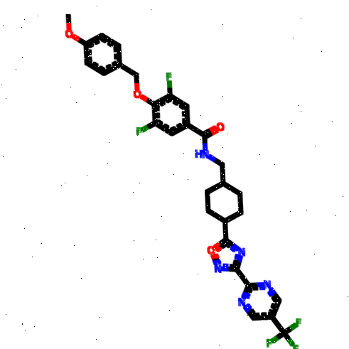 COc1ccc(COc2c(F)cc(C(=O)NCC3CCC(c4nc(-c5ncc(C(F)(F)F)cn5)no4)CC3)cc2F)cc1